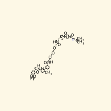 Cc1ccc(NC(=O)C2(c3ccc4c(c3)OC(F)(F)O4)CC2)nc1-c1cccc(C(=O)NCCOCCOCCOCCC(=O)NCCc2ccc(N3CCN(C(=O)/C=C/CN(C)C)CC3=O)s2)c1